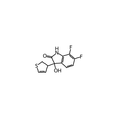 O=C1Nc2c(ccc(F)c2F)C1(O)C1C=CSC1